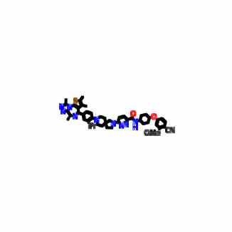 COc1cc(OC2CCC(NC(=O)c3ccc(N4CCC5(CCN(c6ccc(C7=N[C@@H](C)c8nnc(C)n8-c8sc(C)c(C)c87)cc6C(C)C)CC5)C4)nn3)CC2)ccc1C#N